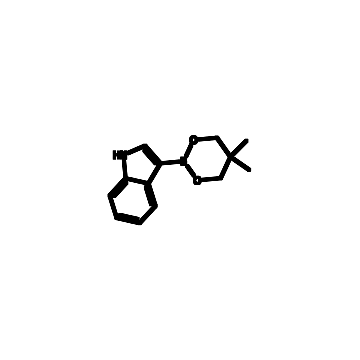 CC1(C)COB(c2c[nH]c3ccccc23)OC1